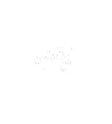 CC(C)C[C@H](NC(=O)[C@@H](N)C(C)C)C(=O)N[C@@H](CO)[C@@H](O)[C@@H](O)[C@H](O)C(=O)N[C@@H](CC(=O)O)c1ccccc1